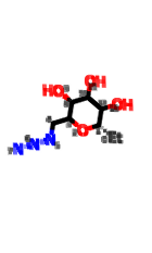 CC[C@@H]1OC(CN=[N+]=[N-])[C@@H](O)C(O)C1O